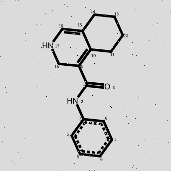 O=C(Nc1ccccc1)C1=C2CCCCC2=CNC1